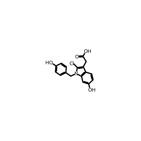 O=C(O)Cc1c(Cl)n(Cc2ccc(O)cc2)c2cc(O)ccc12